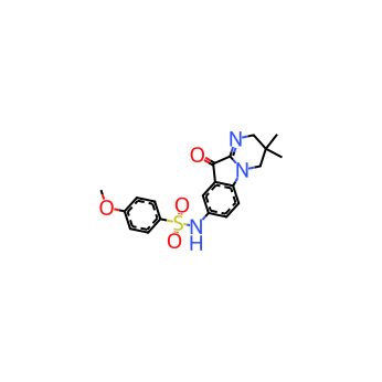 COc1ccc(S(=O)(=O)Nc2ccc3c(c2)C(=O)C2=NCC(C)(C)CN23)cc1